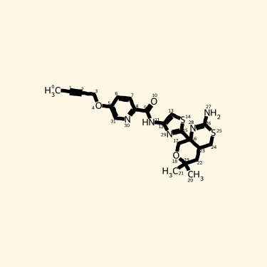 CC#CCOc1ccc(C(=O)Nc2csc(C34COC(C)(C)CC3CSC(N)=N4)n2)nc1